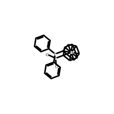 ClP(Cl)[C]12[CH]3[CH]4[CH]5[CH]1[Fe]45321678[CH]2[CH]1[CH]6[C]7(P(c1ccccc1)c1ccccc1)[CH]28